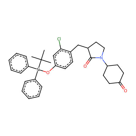 CC(C)(C)[Si](Oc1ccc(CC2CCN(C3CCC(=O)CC3)C2=O)c(Cl)c1)(c1ccccc1)c1ccccc1